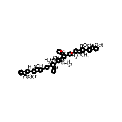 CCCCCCCCC1(CCCCCCCC)c2ccccc2-c2ccc(-c3ccc4c(c3)C(C)(C)c3cc(-c5ccc(-c6cc7c(c8c6oc6ccccc68)-c6cc8c(cc6[Si]7(C)C)-c6c(cc(-c7ccc(-c9ccc%10c(c9)C(C)(C)c9cc(-c%11ccc%12c(c%11)C(CCCCCCCC)(CCCCCCCC)c%11ccccc%11-%12)ccc9-%10)cc7)c7c6oc6ccccc67)[Si]8(C)C)cc5)ccc3-4)cc21